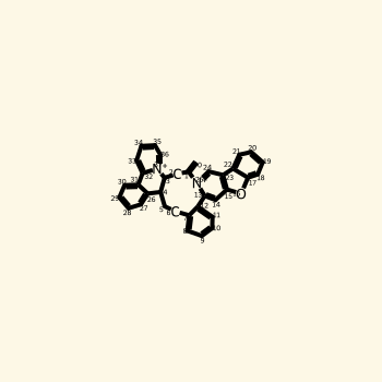 C=C1CC2C(CCc3ccccc3-c3cc4oc5ccccc5c4c[n+]31)c1ccccc1-c1cccc[n+]12